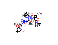 CCCC1CC(NC(=O)[C@@H]2[C@@H]3[C@H](CN2C(=O)[C@@H](NC(=O)N[C@H](CN2C(=O)CC(C)(C)CC2=O)C(C)(C)C)C(C)(C)C)C3(C)C)(C(=O)C(=O)NC2CC2)C1